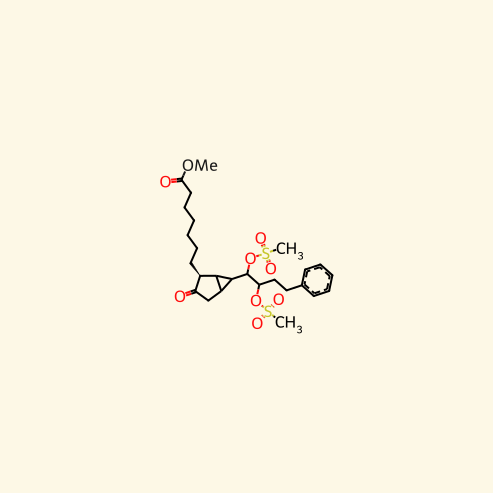 COC(=O)CCCCCC[C@@H]1C(=O)CC2C(C(OS(C)(=O)=O)C(CCc3ccccc3)OS(C)(=O)=O)C21